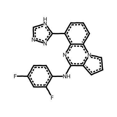 Fc1ccc(Nc2nc3c(-c4nnc[nH]4)cccc3n3cccc23)c(F)c1